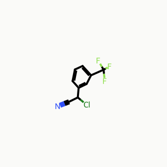 N#CC(Cl)c1cccc(C(F)(F)F)c1